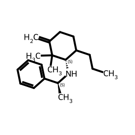 C=C1CCC(CCC)[C@H](N[C@@H](C)c2ccccc2)C1(C)C